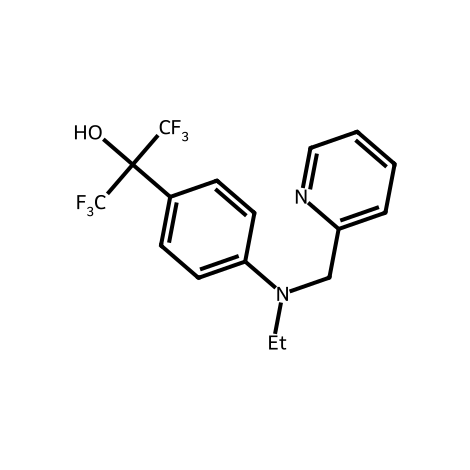 CCN(Cc1ccccn1)c1ccc(C(O)(C(F)(F)F)C(F)(F)F)cc1